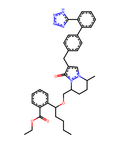 CCCCC(OCC1CCC(C)n2cc(Cc3ccc(-c4ccccc4-c4nnn[nH]4)cc3)c(=O)n21)c1ccccc1C(=O)OCC